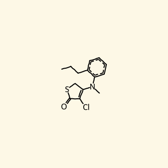 CCCc1ccccc1N(C)C1=C(Cl)C(=O)SC1